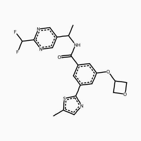 Cc1cnc(-c2cc(OC3COC3)cc(C(=O)NC(C)c3cnc(C(F)F)nc3)c2)s1